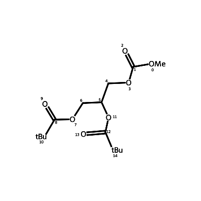 COC(=O)OCC(COC(=O)C(C)(C)C)OC(=O)C(C)(C)C